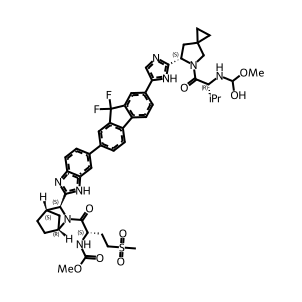 COC(=O)N[C@@H](CCS(C)(=O)=O)C(=O)N1[C@@H]2CC[C@@H](C2)[C@H]1c1nc2ccc(-c3ccc4c(c3)C(F)(F)c3cc(-c5cnc([C@@H]6CC7(CC7)CN6C(=O)[C@H](NC(O)OC)C(C)C)[nH]5)ccc3-4)cc2[nH]1